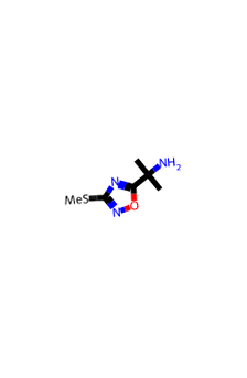 CSc1noc(C(C)(C)N)n1